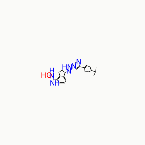 CC(C)(C)c1ccc(-c2cn(NN=C3CCc4c(C(=N)NO)cccc43)cn2)cc1